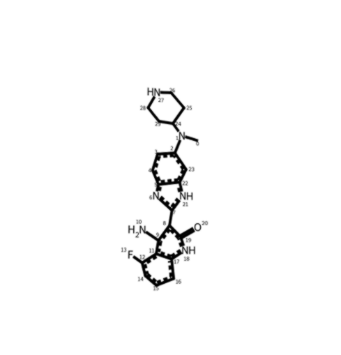 CN(c1ccc2nc(-c3c(N)c4c(F)cccc4[nH]c3=O)[nH]c2c1)C1CCNCC1